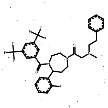 CN(CCc1ccccc1)CC(=O)N1CCC(c2ccccc2F)N(C(=O)c2cc(C(F)(F)F)cc(C(F)(F)F)c2)CC1